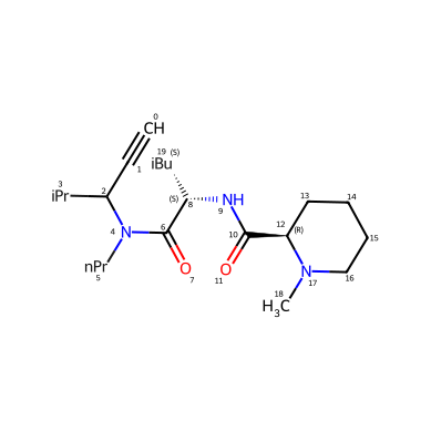 C#CC(C(C)C)N(CCC)C(=O)[C@@H](NC(=O)[C@H]1CCCCN1C)[C@@H](C)CC